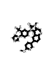 COc1ccc(-c2ccc3ncc4c(c3c2)n(-c2ccc(-n3ccnc3)c(C(F)(F)F)c2)c(=O)n4C)cn1